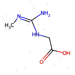 CN=C(N)NCC(=O)O